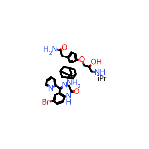 CC(C)NCC(O)COc1ccc(CC(N)=O)cc1.NC12CC3CC(CC(C3)C1)C2.O=C1CN=C(c2ccccn2)c2cc(Br)ccc2N1